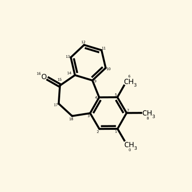 Cc1cc2c(c(C)c1C)-c1ccccc1C(=O)CC2